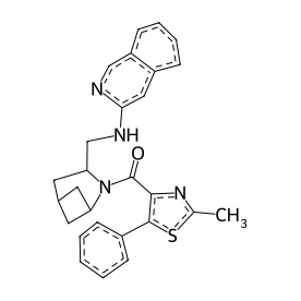 Cc1nc(C(=O)N2C(CNc3cc4ccccc4cn3)CC3CC2C3)c(-c2ccccc2)s1